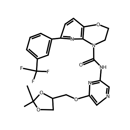 CC1(C)OCC(COc2cncc(NC(=O)N3CCOc4ccc(-c5cccc(C(F)(F)F)c5)nc43)n2)O1